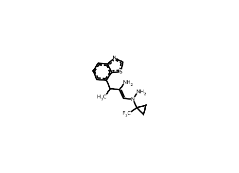 CC(/C(N)=C/N(N)C1(C(F)(F)F)CC1)c1cccc2ncsc12